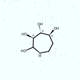 OC1NCC[C@H](O)[C@@H](O)[C@@H]1O